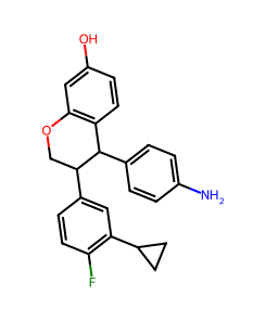 Nc1ccc(C2c3ccc(O)cc3OCC2c2ccc(F)c(C3CC3)c2)cc1